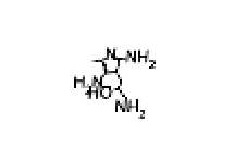 CC1=C(N)C(CC(O)CN)C(N)=N1